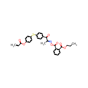 C=CC(=O)Oc1ccc(Sc2ccc(C(=O)/C(C)=N/OC(=O)c3ccccc3C(=O)OCCC)cc2)cc1